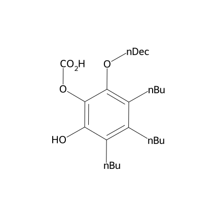 CCCCCCCCCCOc1c(CCCC)c(CCCC)c(CCCC)c(O)c1OC(=O)O